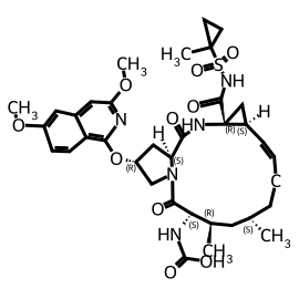 COc1ccc2c(O[C@@H]3C[C@H]4C(=O)N[C@]5(C(=O)NS(=O)(=O)C6(C)CC6)C[C@H]5C=CCC[C@H](C)C[C@@H](C)[C@H](NC(=O)O)C(=O)N4C3)nc(OC)cc2c1